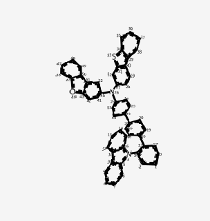 c1ccc(-n2c3ccccc3c3ccccc32)c(-c2ccc(-c3ccc(N(c4ccc5c(c4)sc4ccccc45)c4ccc5oc6ccccc6c5c4)cc3)cc2)c1